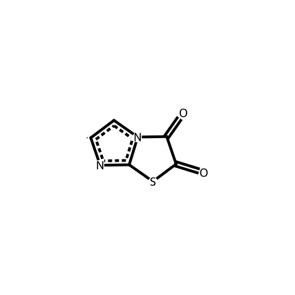 O=C1Sc2n[c]cn2C1=O